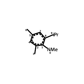 CNc1c(C)cc(C)cc1C(C)C